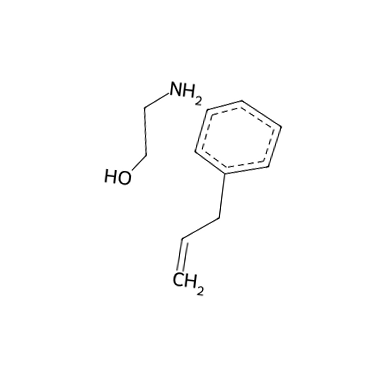 C=CCc1ccccc1.NCCO